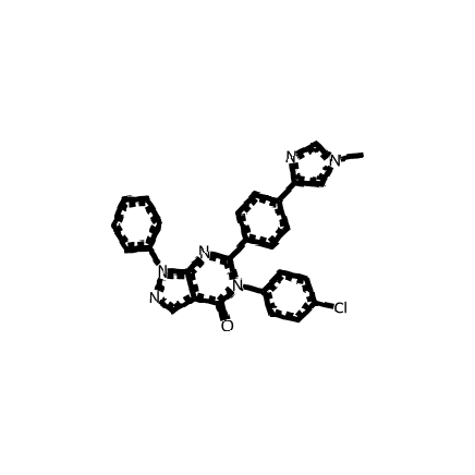 Cn1cnc(-c2ccc(-c3nc4c(cnn4-c4ccccc4)c(=O)n3-c3ccc(Cl)cc3)cc2)c1